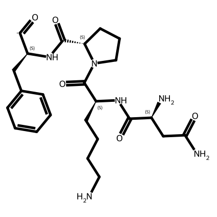 NCCCC[C@H](NC(=O)[C@@H](N)CC(N)=O)C(=O)N1CCC[C@H]1C(=O)N[C@H]([C]=O)Cc1ccccc1